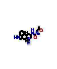 CC(=O)CN(C)C(=O)N[C@@H]1CN[C@@H]2Cc3c[nH]c4cccc(c34)[C@H]2C1